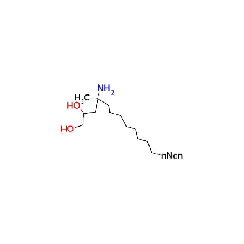 CCCCCCCCCCCCCCCCCC(C)(N)CC(O)CO